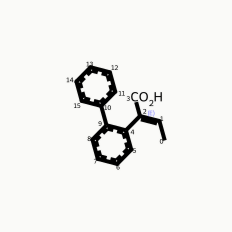 C/C=C(/C(=O)O)c1ccccc1-c1ccccc1